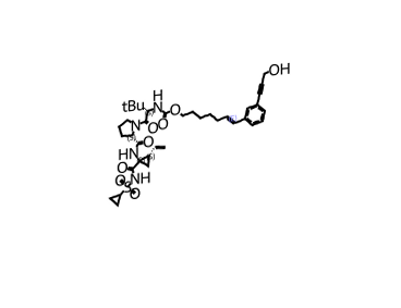 C=C[C@@H]1C[C@]1(NC(=O)[C@@H]1CCCN1C(=O)[C@@H](NC(=O)OCCCCC/C=C/c1cccc(C#CCO)c1)C(C)(C)C)C(=O)NS(=O)(=O)C1CC1